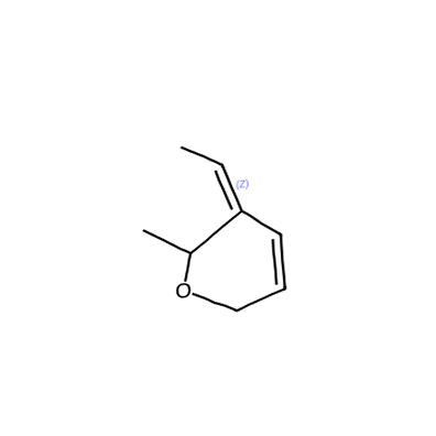 C/C=C1/C=CCOC1C